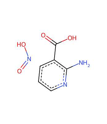 Nc1ncccc1C(=O)O.O=NO